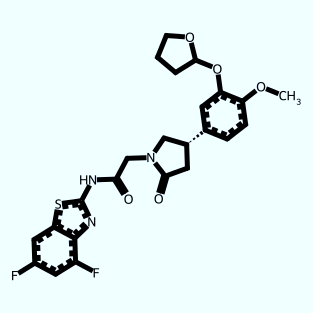 COc1ccc([C@@H]2CC(=O)N(CC(=O)Nc3nc4c(F)cc(F)cc4s3)C2)cc1OC1CCCO1